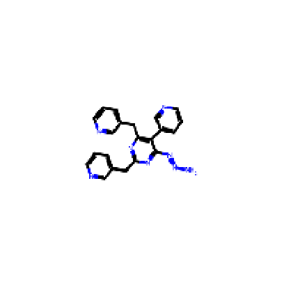 NN=Nc1nc(Cc2cccnc2)nc(Cc2cccnc2)c1-c1cccnc1